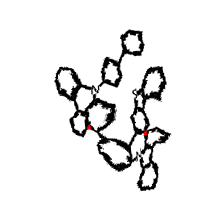 c1ccc(-c2ccc(N(c3ccc(-c4cccc(-n5c6ccccc6c6ccccc65)c4-c4ccc5c(c4)sc4ccccc45)cc3)c3ccccc3-c3ccccc3)cc2)cc1